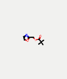 CC(C)(C)C(=O)OCc1n[c]co1